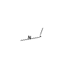 CCCCCCCCCC(CCCCCCCCC[C@@H]1C[C@H]1CCCCCCCC)N(C)C